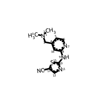 CN(C)Cc1ccnc(Nc2ncc(C#N)s2)c1